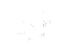 CC(C)(C)N(C(=O)O)[C@H](CC1CC1)C(N)=O